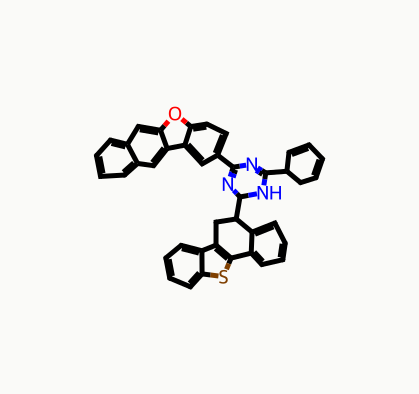 C1=CCC(C2=NC(c3ccc4oc5cc6ccccc6cc5c4c3)=NC(C3Cc4c(sc5ccccc45)-c4ccccc43)N2)C=C1